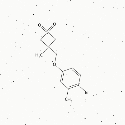 Cc1cc(OCC2(C)CS(=O)(=O)C2)ccc1Br